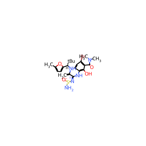 C=C(N[C@@H](c1ccc(C)o1)C(C)(C)C)/C(=N\[S+](N)[O-])Nc1ccc(Br)c(C(=O)N(C)C)c1O